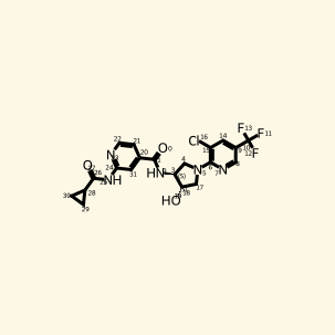 O=C(N[C@H]1CN(c2ncc(C(F)(F)F)cc2Cl)C[C@@H]1O)c1ccnc(NC(=O)C2CC2)c1